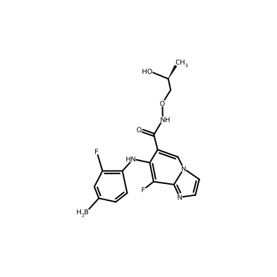 Bc1ccc(Nc2c(C(=O)NOC[C@H](C)O)cn3ccnc3c2F)c(F)c1